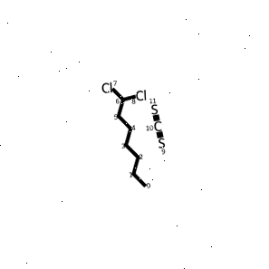 CCCCCCC(Cl)Cl.S=C=S